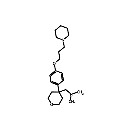 CN(C)CC1(c2ccc(OCCCN3CCCCC3)cc2)CCOCC1